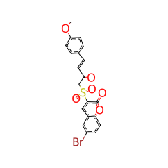 COc1ccc(C=CC(=O)CS(=O)(=O)c2cc3cc(Br)ccc3oc2=O)cc1